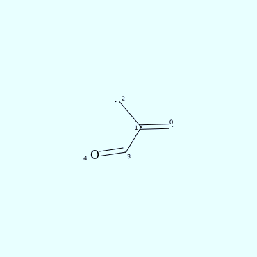 [CH]=C([CH2])C=O